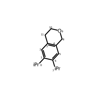 CC(C)c1cc2c(cc1C(C)C)COCC2